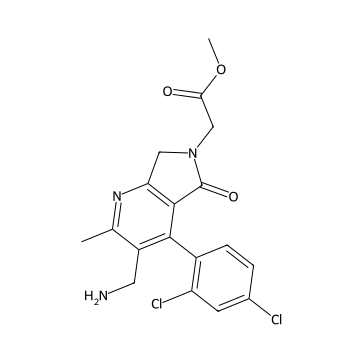 COC(=O)CN1Cc2nc(C)c(CN)c(-c3ccc(Cl)cc3Cl)c2C1=O